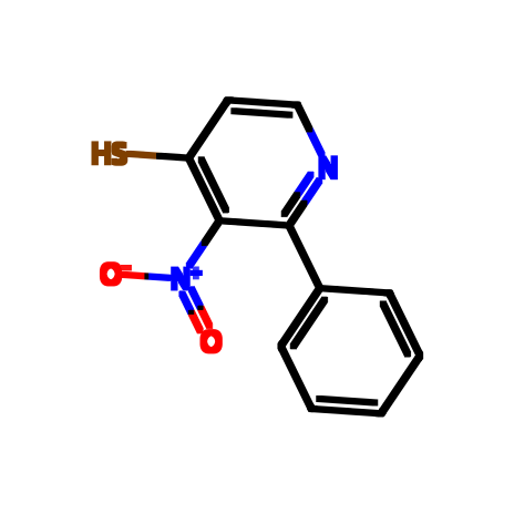 O=[N+]([O-])c1c(S)ccnc1-c1ccccc1